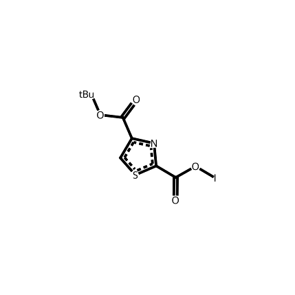 CC(C)(C)OC(=O)c1csc(C(=O)OI)n1